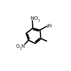 Cc1cc([N+](=O)[O-])cc([N+](=O)[O-])c1C(C)C